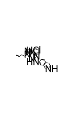 C=CCCn1ncc2cnc(Nc3ccc4c(c3)CNCC4)nc21.Cl.Cl